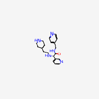 O=C(NCc1ccncc1)C(NCCC1CCNCC1)c1cccnc1